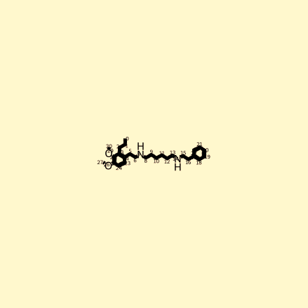 CCCc1c(CCNCCCCCCNCCc2ccccc2)ccc(OC)c1OC